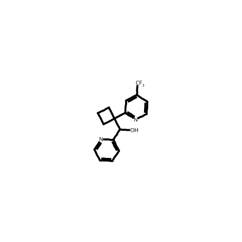 OC(c1ccccn1)C1(c2cc(C(F)(F)F)ccn2)CCC1